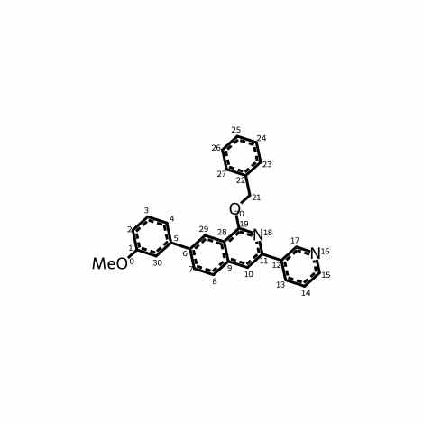 COc1cccc(-c2ccc3cc(-c4cccnc4)nc(OCc4ccccc4)c3c2)c1